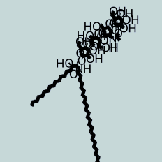 CCCCCCCCCCCCC/C=C/[C@@H](O)[C@H](CO[C@@H]1OC(CO)[C@@H](O[C@@H]2OC(CO)[C@H](O[C@@H]3OC(CO)[C@H](O)[C@H](O[C@@H]4OC(CO)[C@H](O)[C@H](O)C4O)C3NC(C)=O)[C@H](O)C2O)[C@H](O)C1O)NC(=O)CCCCCCCCCCCCCCCCCCCCCCCCC